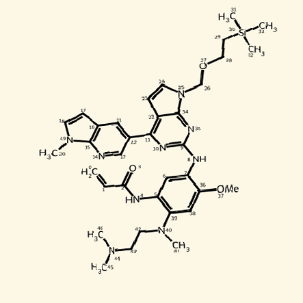 C=CC(=O)Nc1cc(Nc2nc(-c3cnc4c(ccn4C)c3)c3ccn(COCC[Si](C)(C)C)c3n2)c(OC)cc1N(C)CCN(C)C